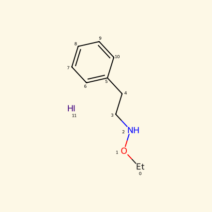 CCONCCc1ccccc1.I